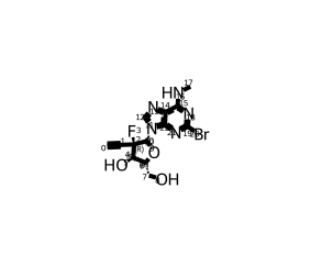 C#C[C@@]1(F)[C@H](O)[C@@H](CO)O[C@H]1n1cnc2c(NC)nc(Br)nc21